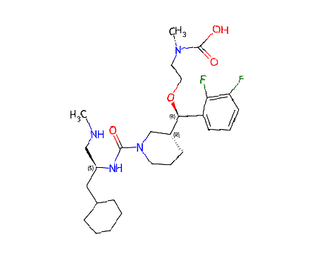 CNC[C@H](CC1CCCCC1)NC(=O)N1CCC[C@@H]([C@@H](OCCN(C)C(=O)O)c2cccc(F)c2F)C1